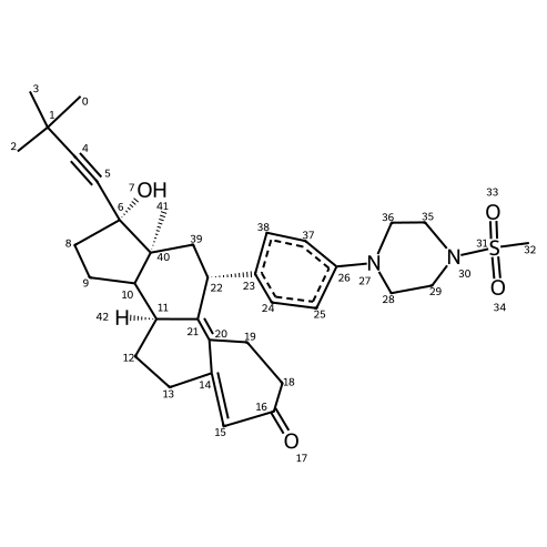 CC(C)(C)C#C[C@]1(O)CCC2[C@@H]3CCC4=CC(=O)CCC4=C3[C@@H](c3ccc(N4CCN(S(C)(=O)=O)CC4)cc3)C[C@@]21C